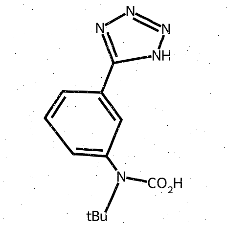 CC(C)(C)N(C(=O)O)c1cccc(-c2nnn[nH]2)c1